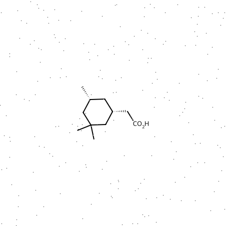 C[C@@H]1C[C@H](CC(=O)O)CC(C)(C)C1